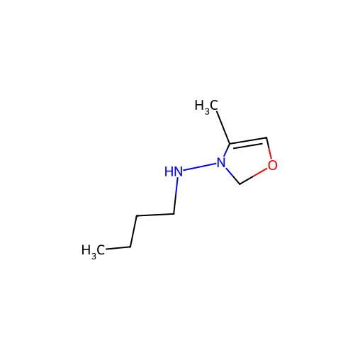 CCCCNN1COC=C1C